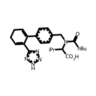 CCCCC(=O)N(Cc1ccc(C2=CCCC=C2c2nn[nH]n2)cc1)C(C(=O)O)C(C)C